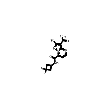 NC(=O)c1c(Br)nn2c(C(=O)NC3CC(F)(F)C3)ccnc12